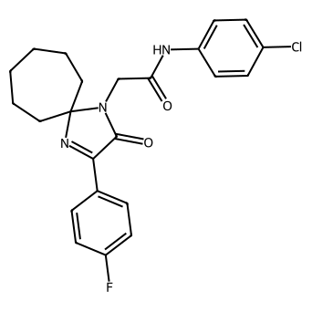 O=C(CN1C(=O)C(c2ccc(F)cc2)=NC12CCCCCC2)Nc1ccc(Cl)cc1